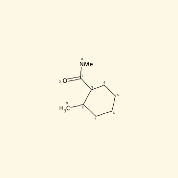 CNC(=O)C1CCCCC1C